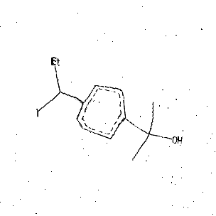 CCC(I)c1ccc(C(C)(C)O)cc1